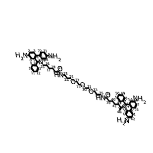 Nc1ccc2c(c1)c(-c1ccccc1)[n+](CCCCCC(=O)NCCCOCCOCCOCCCNC(=O)CCCCC(I)[n+]1c(-c3ccccc3)c3cc(N)ccc3c3ccc(N)cc31)c1cc(N)ccc21